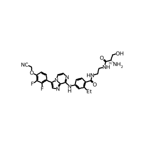 CCc1cc(Nc2nccn3c(-c4ccc(OCC#N)c(F)c4F)cnc23)ccc1C(=O)NCCNC(=O)[C@@H](N)CO